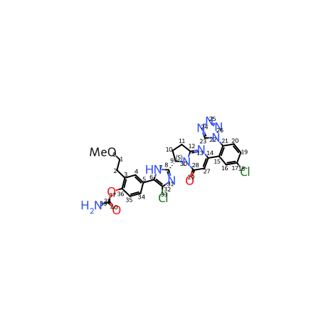 COCCc1cc(-c2[nH]c([C@@H]3CCc4nc(-c5cc(Cl)ccc5-n5cnnn5)cc(=O)n43)nc2Cl)ccc1OC(N)=O